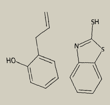 C=CCc1ccccc1O.Sc1nc2ccccc2s1